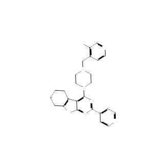 Brc1cnccc1CN1CCN(c2nc(-c3ccncc3)nc3sc4c(c23)CCCC4)CC1